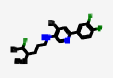 CCc1cc(-c2ccc(F)c(F)c2)ncc1NCCCC(NC)C(F)CC